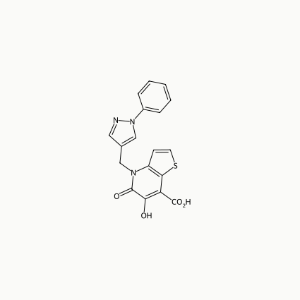 O=C(O)c1c(O)c(=O)n(Cc2cnn(-c3ccccc3)c2)c2ccsc12